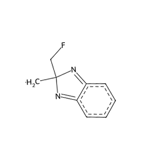 [CH2]C1(CF)N=c2ccccc2=N1